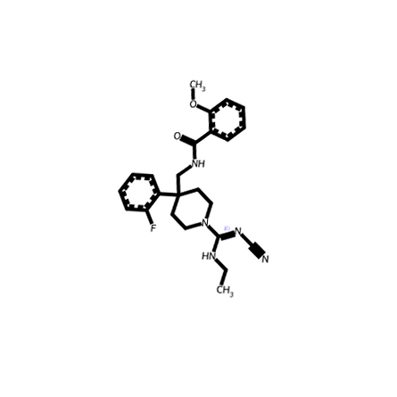 CCN/C(=N\C#N)N1CCC(CNC(=O)c2ccccc2OC)(c2ccccc2F)CC1